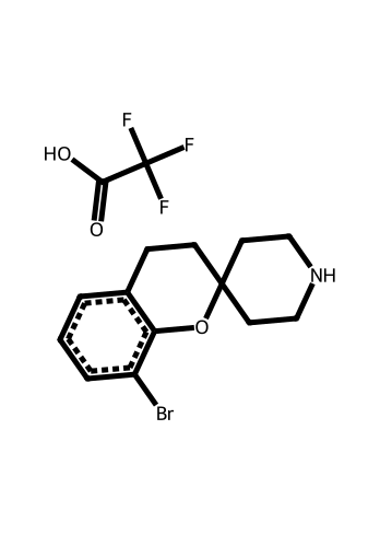 Brc1cccc2c1OC1(CCNCC1)CC2.O=C(O)C(F)(F)F